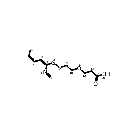 C=N/C(=C\C=C/C)SSCCOCCC(=O)O